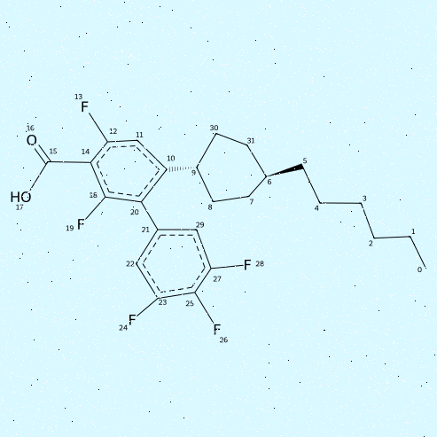 CCCCCC[C@H]1CC[C@H](c2cc(F)c(C(=O)O)c(F)c2-c2cc(F)c(F)c(F)c2)CC1